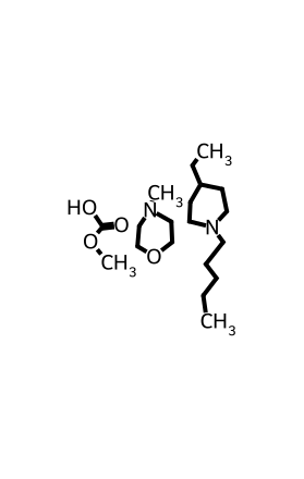 CCCCCN1CCC(CC)CC1.CN1CCOCC1.COC(=O)O